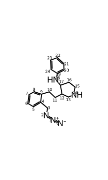 [N-]=[N+]=NCc1ccccc1CCC1CNCCC1Nc1ccccc1